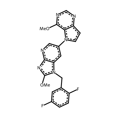 COc1ncnc2ccn(-c3cnc4nc(OC)n(Cc5cc(F)ccc5F)c4c3)c12